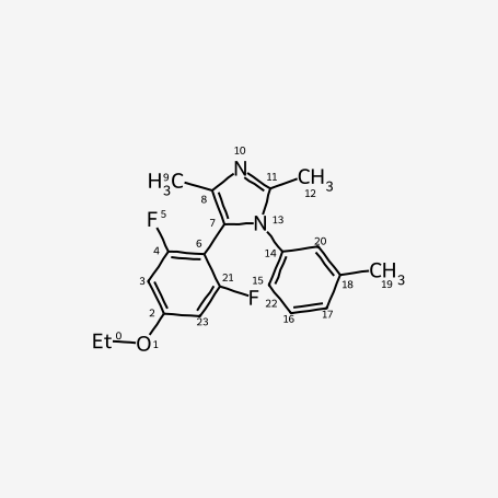 CCOc1cc(F)c(-c2c(C)nc(C)n2-c2cccc(C)c2)c(F)c1